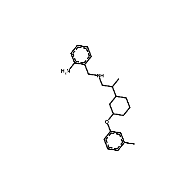 Cc1cccc(OC2CCCC(C(C)CNCc3ccccc3N)C2)c1